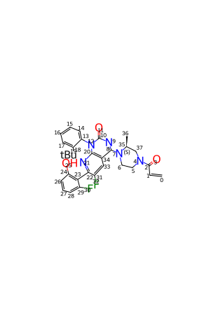 C=CC(=O)N1CCN(c2nc(=O)n(-c3ccccc3C(C)(C)C)c3nc(-c4c(O)cccc4F)c(F)cc23)[C@@H](C)C1